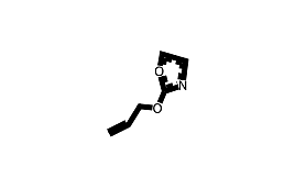 C=CCOc1ncco1